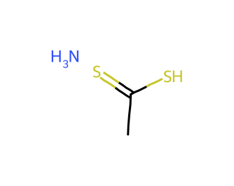 CC(=S)S.N